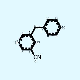 N#Cc1cncc(Cc2ccccc2)c1